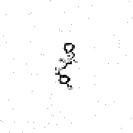 CC(NC[C@H](O)CP(=O)(O)Cc1ccccc1)c1ccc(C#N)cc1